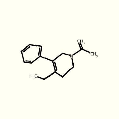 C=C(C)N1CCC(CC)=C(c2ccccc2)C1